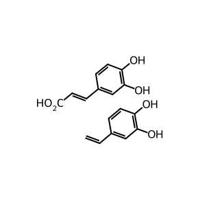 C=Cc1ccc(O)c(O)c1.O=C(O)C=Cc1ccc(O)c(O)c1